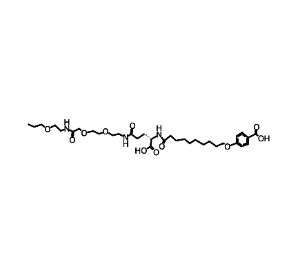 CCCOCCNC(=O)COCCOCCNC(=O)CC[C@H](NC(=O)CCCCCCCCCOc1ccc(C(=O)O)cc1)C(=O)O